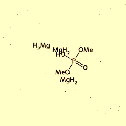 COP(=O)(O)OC.[MgH2].[MgH2].[MgH2]